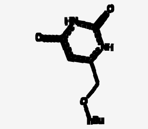 CCCCOCc1cc(=O)[nH]c(=O)[nH]1